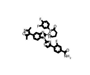 Cc1noc(C)c1-c1ccc2c(c1)nc([Si@@H]1CCCC(=O)N1c1ccc(F)c(F)c1)n2-c1nc(-c2ccc(C(N)=O)cc2F)cs1